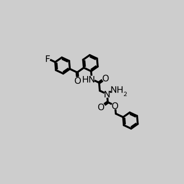 NN(CC(=O)Nc1ccccc1C(=O)c1ccc(F)cc1)C(=O)OCc1ccccc1